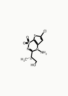 C[C@@H](CO)C1=NS(=O)(=O)c2sc(Cl)cc2N1N